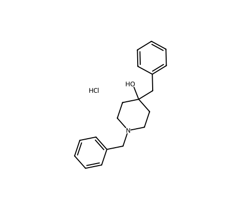 Cl.OC1(Cc2ccccc2)CCN(Cc2ccccc2)CC1